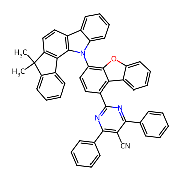 CC1(C)c2ccccc2-c2c1ccc1c3ccccc3n(-c3ccc(-c4nc(-c5ccccc5)c(C#N)c(-c5ccccc5)n4)c4c3oc3ccccc34)c21